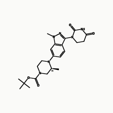 C[C@H]1CN(C(=O)OC(C)(C)C)CCN1c1ccc2c(N3CCC(=O)NC3=O)nn(C)c2c1